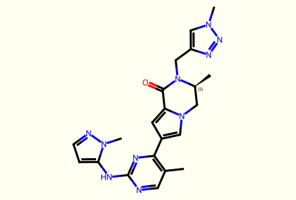 Cc1cnc(Nc2ccnn2C)nc1-c1cc2n(c1)C[C@H](C)N(Cc1cn(C)nn1)C2=O